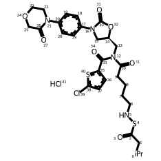 CC(C)CC(=O)SNCCCCC(=O)N(C[C@H]1CN(c2ccc(N3CCOCC3=O)cc2)C(=O)O1)C(=O)c1ccc(Cl)s1.Cl